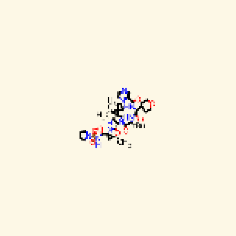 C=C[C@@H]1C[C@]1(NC(=O)[C@@H]1C[C@@]2(CN1C(=O)[C@@H](NC(=O)[C@@H](NC(=O)c1cnccn1)C1CCOCC1)C(C)(C)C)C(C)(C)C21CCC1)C(=O)NS(=O)(=O)N1CCCC1